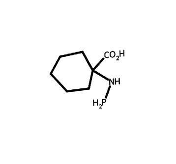 O=C(O)C1(NP)CCCCC1